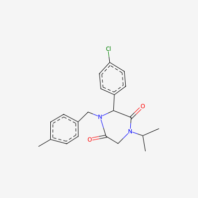 Cc1ccc(CN2C(=O)CN(C(C)C)C(=O)C2c2ccc(Cl)cc2)cc1